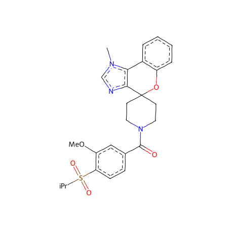 COc1cc(C(=O)N2CCC3(CC2)Oc2ccccc2-c2c3ncn2C)ccc1S(=O)(=O)C(C)C